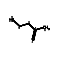 CC(=O)CCS